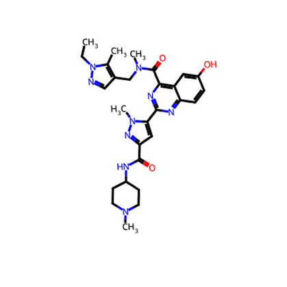 CCn1ncc(CN(C)C(=O)c2nc(-c3cc(C(=O)NC4CCN(C)CC4)nn3C)nc3ccc(O)cc23)c1C